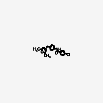 CC1CN(Cc2ccc(NC(=O)c3ccc(Cl)cc3)cc2)CC(C)O1